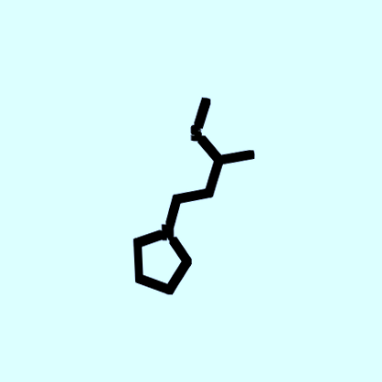 CSC(C)CCN1CCCC1